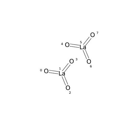 [O]=[La](=[O])=[O].[O]=[La](=[O])=[O]